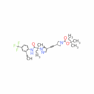 C#Cc1cc(C(F)(F)F)ccc1NC(=O)C(C)(C)n1cc(C#CC2CN(C(=O)OC(C)(C)C)C2)cn1